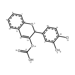 Cc1cc(C2Oc3ccccc3C=C2OC(=O)O)ccc1Cl